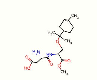 COC(=O)[C@H](COC(C)(C)C1CC=C(C)CC1)NC(=O)[C@@H](N)CC(=O)O